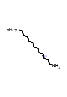 CCCCCCCCCCCCCCC/C=C/CCN